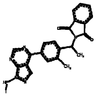 Cc1cc(-c2ncnc3c2cnn3PI)ccc1C(C)N1C(=O)c2ccccc2C1=O